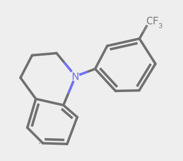 FC(F)(F)c1cccc(N2CCCc3c[c]ccc32)c1